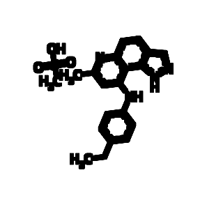 CCc1ccc(Nc2cc(C)nc3ccc4cn[nH]c4c23)cc1.CS(=O)(=O)O